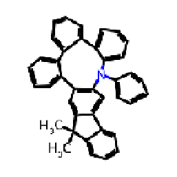 CC1(C)c2ccccc2-c2cc3c(cc21)c1ccccc1c1ccccc1c1ccccc1n3-c1ccccc1